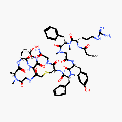 CNCC(=O)N[C@@H](CCCNC(=N)N)C(=O)N(C)[C@@H](Cc1ccccc1)C(=O)N(C)CC(=O)N[C@@H](Cc1ccc(O)cc1)C(=O)N(C)[C@@H](Cc1ccccc1)C(=O)N[C@@H](CSCC(=O)NCC(=O)N(C)[C@@H](C)C(=O)N[C@@H](CC(=O)O)C(=O)NC(C(=O)N(C)[C@H](C=O)CO)C(C)C)C(=O)NCC(N)=O